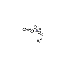 CCOC(=O)c1ccc2c(c1)NC(=O)/C2=C(/Nc1ccc(CNc2ccccc2)cc1)c1ccccc1